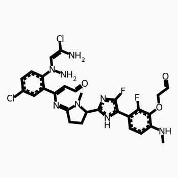 CNc1ccc(-c2[nH]c(C3CC/C(=N/C(=C\C=O)c4cc(Cl)ccc4N(N)/C=C(\N)Cl)N3C)nc2F)c(F)c1OCC=O